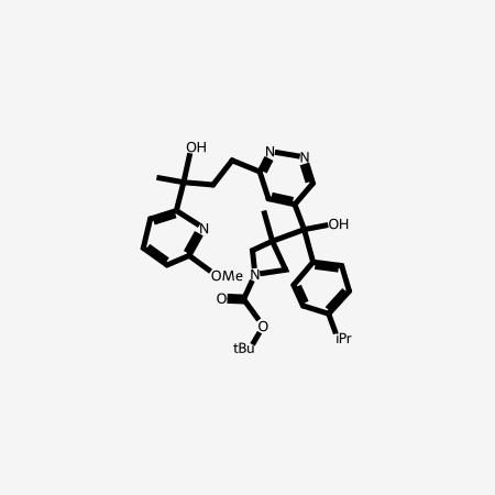 COc1cccc(C(C)(O)CCc2cc(C(O)(c3ccc(C(C)C)cc3)C3(C)CN(C(=O)OC(C)(C)C)C3)cnn2)n1